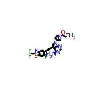 C=CC(=O)N1CCC(n2cc(C#Cc3cc4nc(C(F)F)sc4cc3F)c3c(N)ncnc32)C1